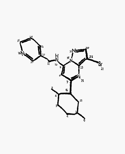 CC1CCC(C)C(c2cc(NCc3cccnc3)n3ncc(Br)c3n2)C1